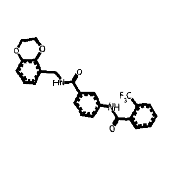 O=C(NCc1cccc2c1OCCO2)c1cccc(NC(=O)c2ccccc2C(F)(F)F)c1